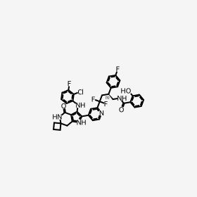 O=C(NC[C@@H](CC(F)(F)c1cc(-c2[nH]c3c(c2Nc2cccc(F)c2Cl)C(=O)NC2(CCC2)C3)ccn1)c1ccc(F)cc1)c1ccccc1O